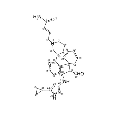 NC(=O)C=CCN1CCCC(c2ncccc2C2(C(C=O)CNc3cc(C4CC4)[nH]n3)C=CC=CC2)C1